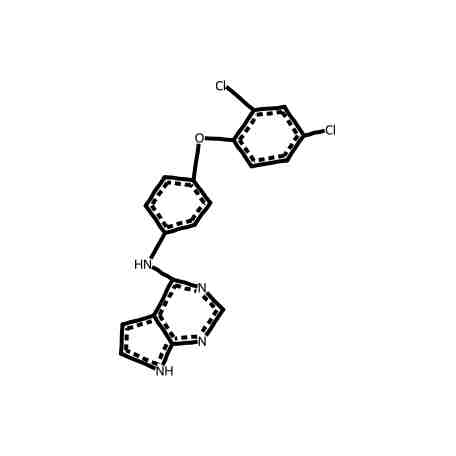 Clc1ccc(Oc2ccc(Nc3ncnc4[nH]ccc34)cc2)c(Cl)c1